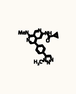 CNc1ncc(-c2ccc(-c3cnnn3C)cc2)c2cc(NC(=O)C3CC3)ncc12